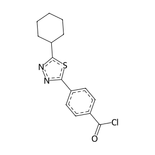 O=C(Cl)c1ccc(-c2nnc(C3CCCCC3)s2)cc1